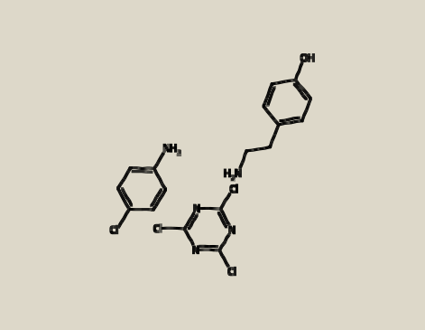 Clc1nc(Cl)nc(Cl)n1.NCCc1ccc(O)cc1.Nc1ccc(Cl)cc1